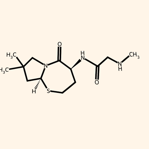 CNCC(=O)N[C@H]1CCS[C@H]2CC(C)(C)CN2C1=O